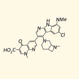 CNc1cc(Cl)cc2c1[nH]c1ncc(-c3cnc4c(c3)c(=O)c(C(=O)O)cn4C)c(N3CCC4CN(C)C4C3)c12